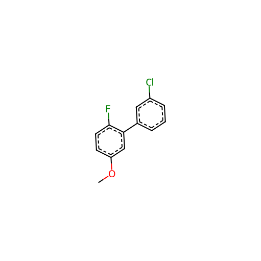 COc1ccc(F)c(-c2cccc(Cl)c2)c1